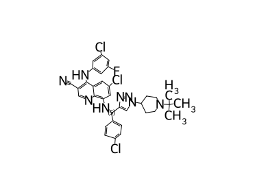 CC(C)(C)N1CCC(n2cc([C@@H](Nc3cc(Cl)cc4c(Nc5cc(F)cc(Cl)c5)c(C#N)cnc34)c3ccc(Cl)cc3)nn2)CC1